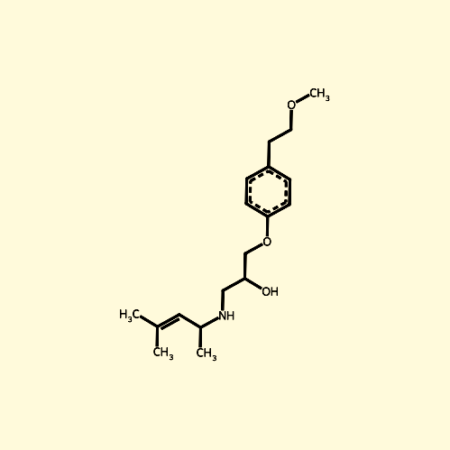 COCCc1ccc(OCC(O)CNC(C)C=C(C)C)cc1